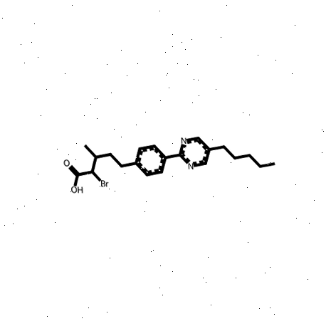 CCCCCc1cnc(-c2ccc(CCC(C)C(Br)C(=O)O)cc2)nc1